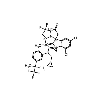 C[C@@H](C(=O)N(CC1CC1)c1cccc(C(C)(C)C(F)(F)F)c1)[C@H]1CC(F)(F)CN1[C@@]1(CC(=O)O)C(=O)Nc2c(Cl)cc(Cl)cc21